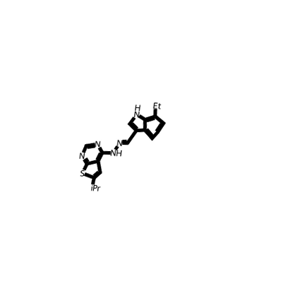 CCc1cccc2c(C=NNc3ncnc4sc(C(C)C)cc34)c[nH]c12